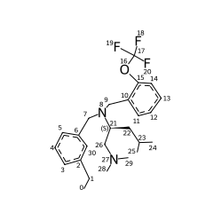 CCc1cccc(CN(Cc2ccccc2OC(F)(F)F)[C@@H](CC(C)C)CN(C)C)c1